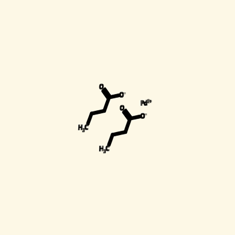 CCCC(=O)[O-].CCCC(=O)[O-].[Pd+2]